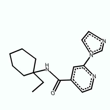 CCC1(NC(=O)c2ccnc(-n3ccnc3)c2)CCCCC1